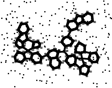 c1ccc2c(c1)-c1ccccc1C21c2ccccc2-c2ccc(N(c3ccc(-c4ccc5oc6ccccc6c5c4)cc3)c3ccc(-c4ccc5c(c4)C4(c6ccccc6-5)c5ccccc5-n5c6ccccc6c6cccc4c65)c4ccccc34)cc21